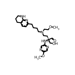 COCCN(CCCCc1ccc2c(n1)NCCC2)CC[C@@](C=O)(CO)Nc1cnc(OC)cn1